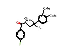 CCCCCCCCCCC(C)(CC(C#N)C(=O)c1ccc(F)cc1)c1ccc(OC)c(OC)c1